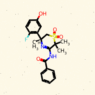 CC1(C)C(NC(=O)c2ccccc2)=N[C@](C)(c2cc(O)ccc2F)CS1(=O)=O